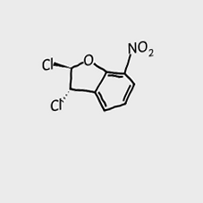 O=[N+]([O-])c1cccc2c1O[C@H](Cl)[C@H]2Cl